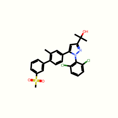 Cc1cc(-c2cc(C(C)(C)O)nn2-c2c(Cl)cccc2Cl)ccc1-c1cccc(S(C)(=O)=O)c1